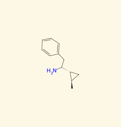 C[C@@H]1C[C@H]1C(N)Cc1ccccc1